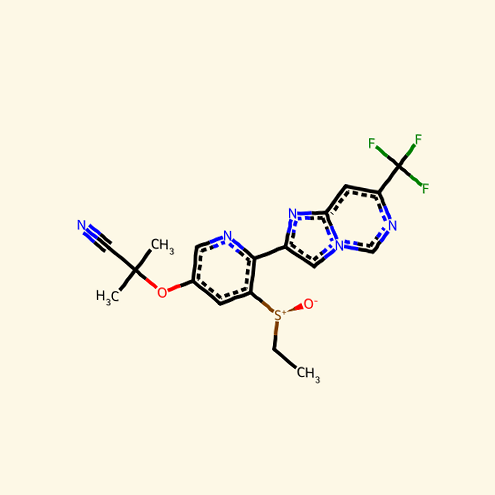 CC[S@+]([O-])c1cc(OC(C)(C)C#N)cnc1-c1cn2cnc(C(F)(F)F)cc2n1